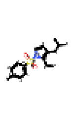 CCc1c(CC(C)C)ccn1S(=O)(=O)c1ccc(C)cc1